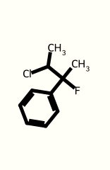 CC(Cl)C(C)(F)c1ccccc1